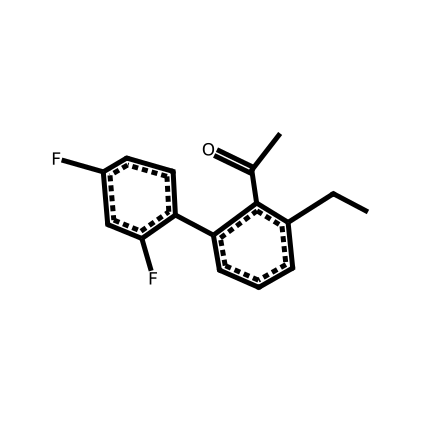 CCc1cccc(-c2ccc(F)cc2F)c1C(C)=O